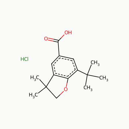 CC(C)(C)c1cc(C(=O)O)cc2c1OCC2(C)C.Cl